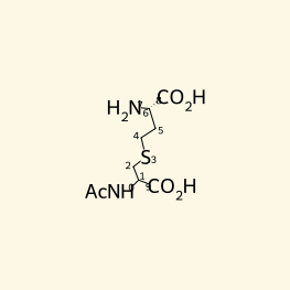 CC(=O)NC(CSCC[C@H](N)C(=O)O)C(=O)O